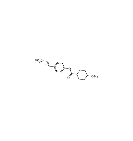 COC1CCC(C(=O)Oc2ccc(/C=C/C(=O)O)cc2)CC1